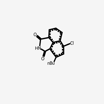 CCCCc1cc(Cl)c2cccc3c2c1C(=O)NC3=O